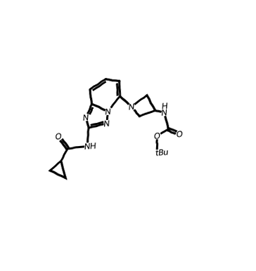 CC(C)(C)OC(=O)NC1CN(c2cccc3nc(NC(=O)C4CC4)nn23)C1